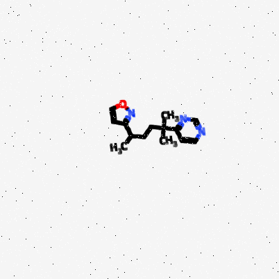 CC(CCC(C)(C)c1ccncn1)c1ccon1